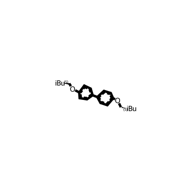 CC[C@H](C)COc1ccc(-c2ccc(OC[C@@H](C)CC)cc2)cc1